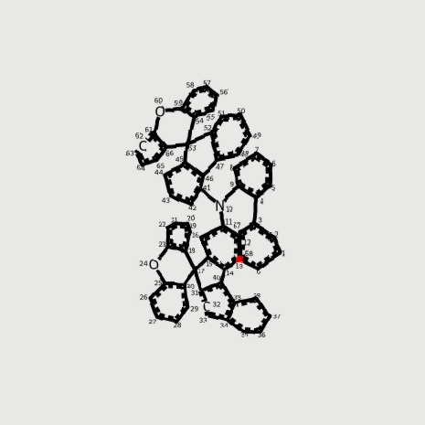 c1ccc(-c2ccccc2N(c2ccc3c(c2)C2(c4ccccc4Oc4ccccc42)c2ccc4ccccc4c2-3)c2cccc3c2-c2ccccc2C32c3ccccc3Oc3ccccc32)cc1